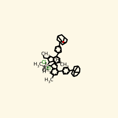 CCC1=Cc2c(-c3ccc(C45CC6CC(CC(C6)C4)C5)cc3)cc(C)cc2[CH]1[Zr]([Cl])([Cl])([CH]1C(C)=Cc2c(-c3ccc(C45CC6CC(CC(C6)C4)C5)cc3)cc(C)cc21)[SiH](C)C